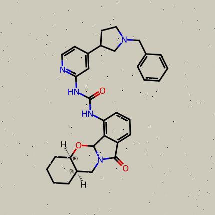 O=C(Nc1cc(C2CCN(Cc3ccccc3)C2)ccn1)Nc1cccc2c1C1O[C@@H]3CCCC[C@@H]3CN1C2=O